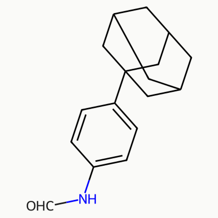 O=CNc1ccc(C23CC4CC(CC(C4)C2)C3)cc1